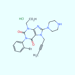 CC#CCn1c(N2CCNCC2)nc2c1c(=O)n(-c1ccccc1CC)c(=O)n2CC(=O)O.Cl